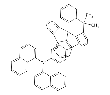 CC1(C)c2ccccc2C2(c3ccccc3-c3ccccc32)c2c(-c3ccc(N(c4cccc5ccccc45)c4cccc5ccccc45)cc3)cccc21